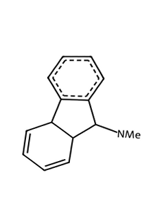 CNC1c2ccccc2C2C=CC=CC21